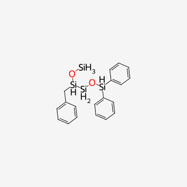 [SiH3]O[SiH](Cc1ccccc1)[SiH2]O[SiH](c1ccccc1)c1ccccc1